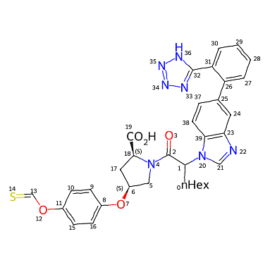 CCCCCCC(C(=O)N1C[C@@H](Oc2ccc(OC=S)cc2)C[C@H]1C(=O)O)n1cnc2cc(-c3ccccc3-c3nnn[nH]3)ccc21